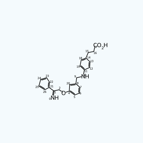 N=C(COc1cccc(CNc2ccc(CCC(=O)O)cc2)c1)c1ccccc1